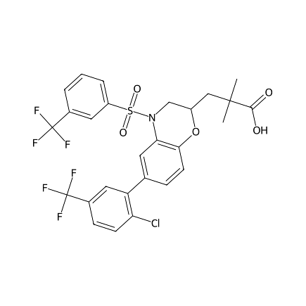 CC(C)(CC1CN(S(=O)(=O)c2cccc(C(F)(F)F)c2)c2cc(-c3cc(C(F)(F)F)ccc3Cl)ccc2O1)C(=O)O